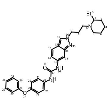 CCC1CCCCN1CCCn1cc2ccc(NC(=O)Nc3ccc(Oc4ccccc4)cc3)cc2n1